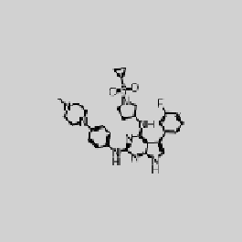 CN1CCN(c2ccc(Nc3nc(N[C@H]4CCN(S(=O)(=O)C5CC5)C4)c4c(-c5cc[c]c(F)c5)c[nH]c4n3)cc2)CC1